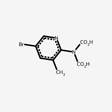 Cc1cc(Br)cnc1N(C(=O)O)C(=O)O